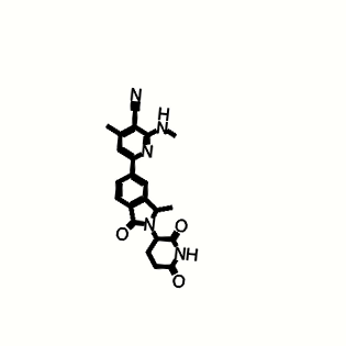 CNc1nc(-c2ccc3c(c2)C(C)N(C2CCC(=O)NC2=O)C3=O)cc(C)c1C#N